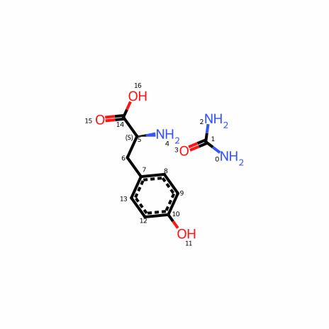 NC(N)=O.N[C@@H](Cc1ccc(O)cc1)C(=O)O